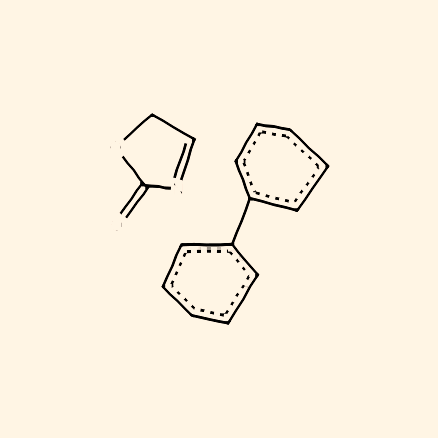 O=C1N=CCO1.c1ccc(-c2ccccc2)cc1